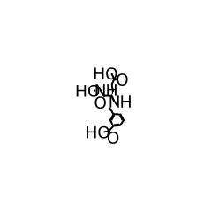 O=C(O)CC[C@@H](NCc1cccc(C(=O)O)c1)C(=O)NO